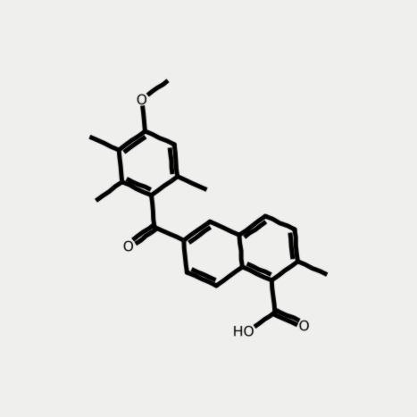 COc1cc(C)c(C(=O)c2ccc3c(C(=O)O)c(C)ccc3c2)c(C)c1C